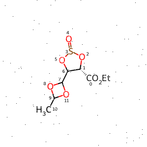 CCOC(=O)[C@H]1OS(=O)OC1C1OC(C)O1